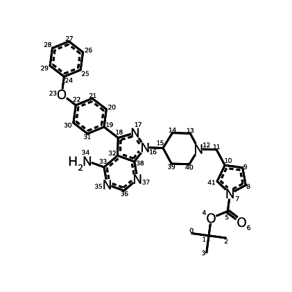 CC(C)(C)OC(=O)n1ccc(CN2CCC(n3nc(-c4ccc(Oc5ccccc5)cc4)c4c(N)ncnc43)CC2)c1